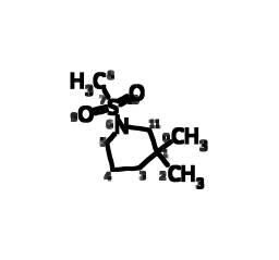 CC1(C)CCCN(S(C)(=O)=O)C1